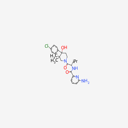 CC(C)C(NC(=O)c1cccc(N)n1)C(=O)N1CCC(O)(c2ccc(Cl)cc2)C(C)(C)C1